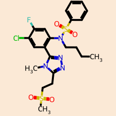 CCCCN(c1cc(F)c(Cl)cc1-c1nnc(CCS(C)(=O)=O)n1C)S(=O)(=O)c1ccccc1